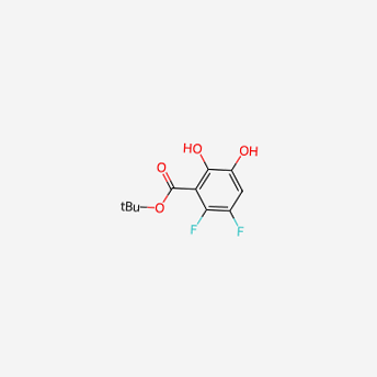 CC(C)(C)OC(=O)c1c(O)c(O)cc(F)c1F